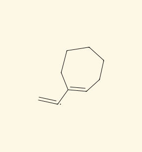 C=[C]C1=CCCCCC1